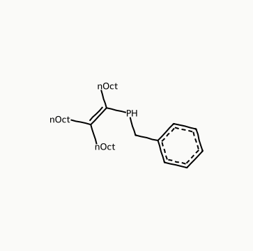 CCCCCCCCC(CCCCCCCC)=C(CCCCCCCC)PCc1ccccc1